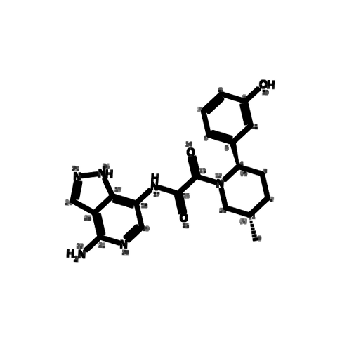 C[C@H]1CC[C@H](c2cccc(O)c2)N(C(=O)C(=O)Nc2cnc(N)c3cn[nH]c23)C1